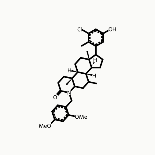 COc1ccc(CN2C(=O)CC[C@@]3(C)C2CC(C)[C@@H]2[C@H]3CC[C@]3(C)C(c4cc(O)cc(Cl)c4C)CC[C@@H]23)c(OC)c1